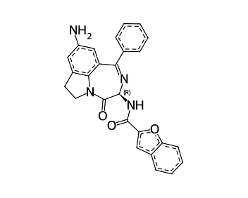 Nc1cc2c3c(c1)C(c1ccccc1)=N[C@@H](NC(=O)c1cc4ccccc4o1)C(=O)N3CC2